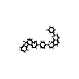 c1ccc(-c2ccc3ccc4ccc(-c5ccc(-c6ccc7c(ccc8oc9ccccc9c87)n6)cc5)nc4c3n2)cc1